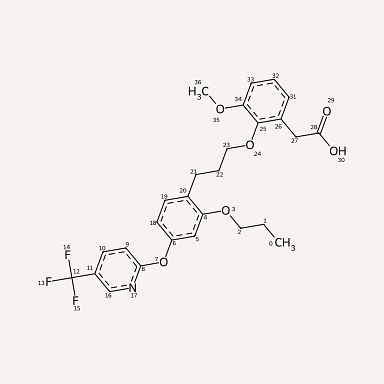 CCCOc1cc(Oc2ccc(C(F)(F)F)cn2)ccc1CCCOc1c(CC(=O)O)cccc1OC